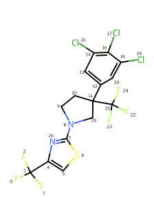 FC(F)(F)c1csc(N2CCC(c3cc(Cl)c(Cl)c(Cl)c3)(C(F)(F)F)C2)n1